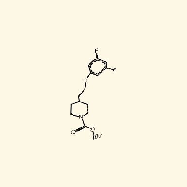 CC(C)(C)OC(=O)N1CCC(CCOc2cc(F)cc(F)c2)CC1